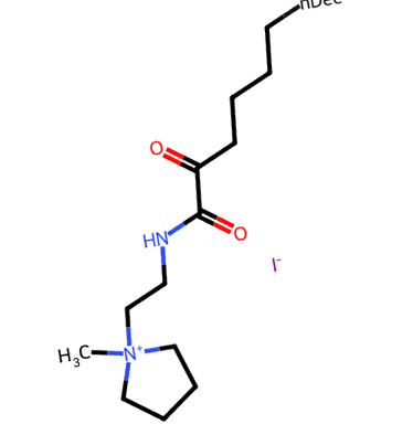 CCCCCCCCCCCCCCC(=O)C(=O)NCC[N+]1(C)CCCC1.[I-]